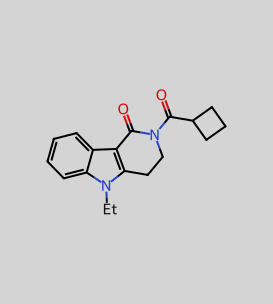 CCn1c2c(c3ccccc31)C(=O)N(C(=O)C1CCC1)CC2